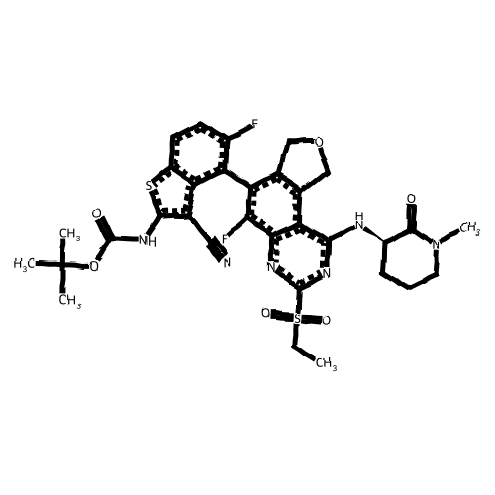 CCS(=O)(=O)c1nc(N[C@@H]2CCCN(C)C2=O)c2c3c(c(-c4c(F)ccc5sc(NC(=O)OC(C)(C)C)c(C#N)c45)c(F)c2n1)COC3